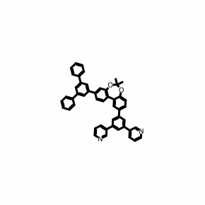 CC1(C)Oc2cc(-c3cc(-c4ccccc4)cc(-c4ccccc4)c3)ccc2-c2cc(-c3cc(-c4cccnc4)cc(-c4cccnc4)c3)ccc2O1